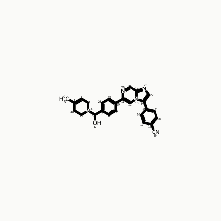 CC1=CCN(C(O)c2ccc(-c3cn4c(-c5ccc(C#N)cc5)cnc4cn3)cc2)CC1